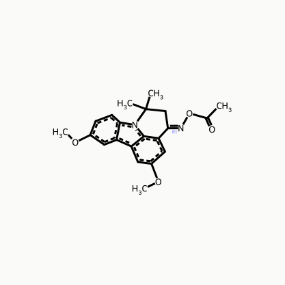 COc1ccc2c(c1)c1cc(OC)cc3c1n2C(C)(C)C/C3=N\OC(C)=O